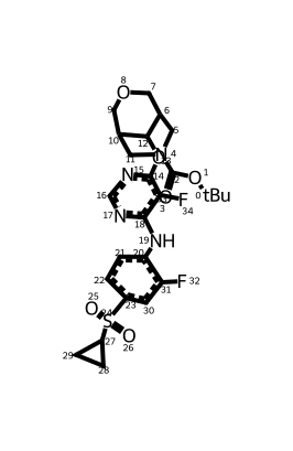 CC(C)(C)OC(=O)N1CC2COCC(C1)C2Oc1ncnc(Nc2ccc(S(=O)(=O)C3CC3)cc2F)c1F